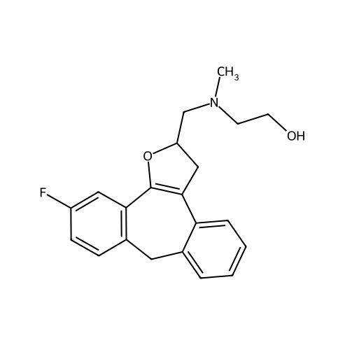 CN(CCO)CC1CC2=C(O1)c1cc(F)ccc1Cc1ccccc12